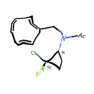 CC(=O)N(Cc1ccccc1)[C@@H]1C[C@]1(F)Cl